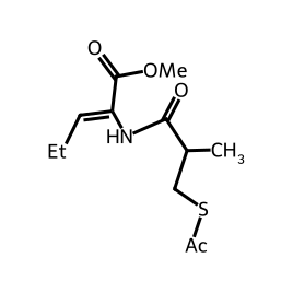 CCC=C(NC(=O)C(C)CSC(C)=O)C(=O)OC